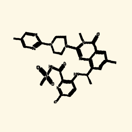 Cc1cnc(N2CCN(c3nc4c([C@@H](C)Nc5ccc(Cl)nc5C(=O)NS(C)(=O)=O)cc(C)cc4c(=O)n3C)CC2)nc1